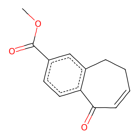 COC(=O)c1ccc2c(c1)CCC=CC2=O